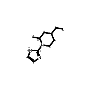 CCC1CCN(c2ncc[nH]2)C(C)C1